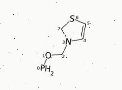 POCN1C=CSC1